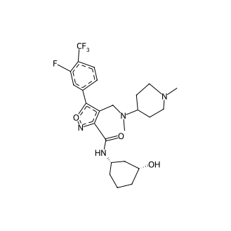 CN1CCC(N(C)Cc2c(C(=O)N[C@H]3CCC[C@@H](O)C3)noc2-c2ccc(C(F)(F)F)c(F)c2)CC1